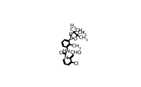 Cc1c(NC(=O)N2C=CC=C(Cl)/C2=C/C=O)cccc1B1OC(C)(C)C(C)(C)O1